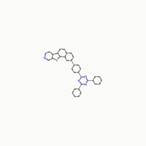 c1ccc(-c2nc(-c3ccccc3)nc(-c3ccc(-c4ccc5ccc6c7ccncc7sc6c5c4)cc3)n2)cc1